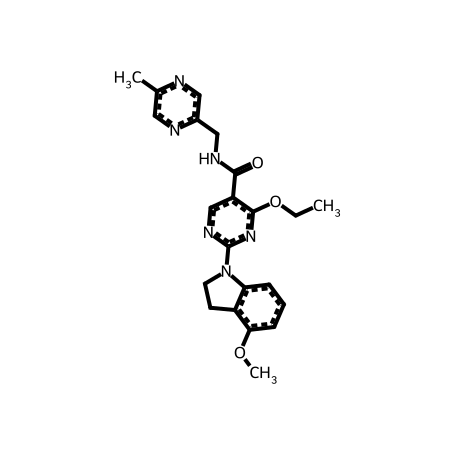 CCOc1nc(N2CCc3c(OC)cccc32)ncc1C(=O)NCc1cnc(C)cn1